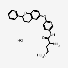 Cl.NC(CCC(=O)O)C(=O)Nc1ccc(Oc2ccc3c(c2)CCC(c2ccccc2)O3)nc1